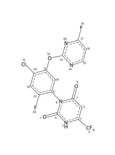 O=c1cc(C(F)(F)F)[nH]c(=O)n1-c1cc(Oc2nccc(F)n2)c(Cl)cc1F